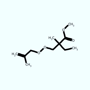 C=C(C)COOCC(C)(CC)C(=O)OC